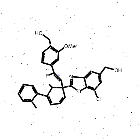 COc1cc(/C(F)=C/C2(c3nc4cc(CO)cc(Cl)c4o3)C=CC=C(c3ccccc3C)C2C)ccc1CO